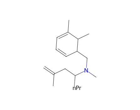 C=C(C)CC(CCC)N(C)CC1C=CC=C(C)C1C